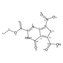 C=C(OCC)c1nc2c([N+](=O)[O-])sc(C(=O)O)c2c(=O)[nH]1